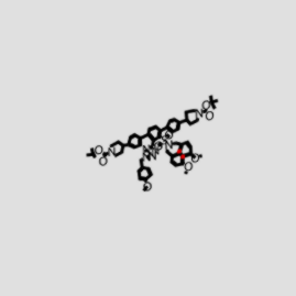 COc1ccc(CN(Cc2ccc(OC)cc2)S(=O)(=O)c2c(-c3ccc(C4CCN(C(=O)OC(C)(C)C)CC4)cc3)ccc(-c3ccc(C4CCN(C(=O)OC(C)(C)C)CC4)cc3)c2-c2nnn(Cc3ccc(OC)cc3)n2)cc1